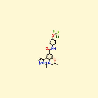 CC1CN(C(C)C)c2c(cc(C(=O)Nc3ccc(OC(F)(F)Cl)cc3)cc2-c2ccn[nH]2)O1